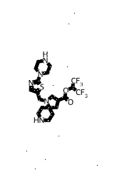 O=C(OC(C(F)(F)F)C(F)(F)F)C1CN(Cc2cnc(N3CCNCC3)s2)C2(CCNCC2)C1